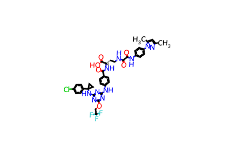 Cc1cc(C)n(-c2ccc(NC(=O)C(=O)NCC[C@H](NC(=O)c3ccc(Nc4nc(NC5(c6ccc(Cl)cc6)CC5)nc(OCC(F)(F)F)n4)cc3)C(=O)O)cc2)n1